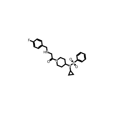 O=C(CNCc1ccc(F)cc1)N1CCC(N(C2CC2)S(=O)(=O)c2ccccc2)CC1